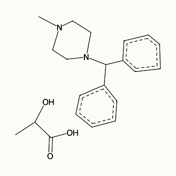 CC(O)C(=O)O.CN1CCN(C(c2ccccc2)c2ccccc2)CC1